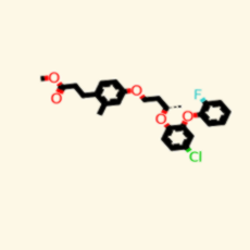 COC(=O)CCc1ccc(OCC[C@H](C)Oc2ccc(Cl)cc2Oc2ccccc2F)cc1C